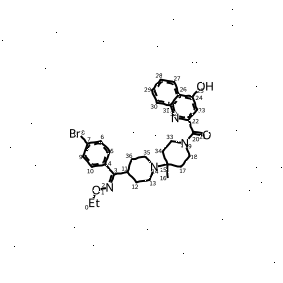 CCON=C(c1ccc(Br)cc1)C1CCN(C2(C)CCN(C(=O)c3cc(O)c4ccccc4n3)CC2)CC1